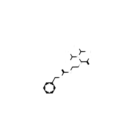 CC(=O)[C@@H](CCNC(=O)OCc1ccccc1)N(C(C)C)C(C)C